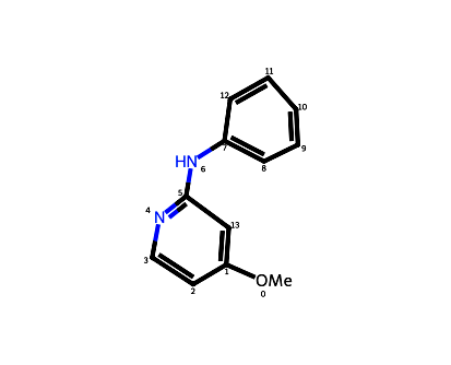 COc1ccnc(Nc2ccccc2)c1